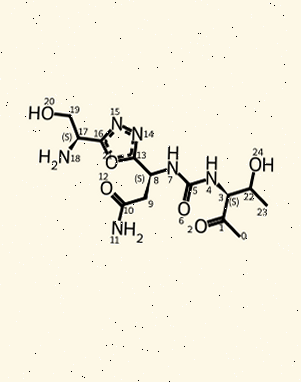 CC(=O)[C@@H](NC(=O)N[C@@H](CC(N)=O)c1nnc([C@@H](N)CO)o1)C(C)O